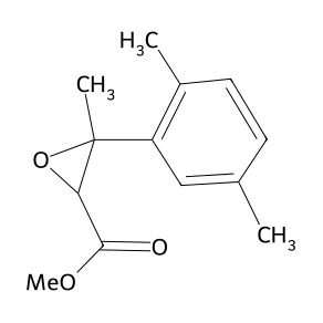 COC(=O)C1OC1(C)c1cc(C)ccc1C